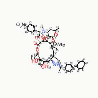 CC[C@H]1OC(=O)[C@H](C)[C@@H](OC(=O)Cc2ccc([N+](=O)[O-])cc2)[C@H](C)[C@@H](OC2OC(C)CC(N(C)C)C2O)[C@](C)(OC)C[C@@H](C)/C(=N\N=C(/C)c2ccc(-c3ccccc3)cc2)[C@H](C)[C@@H](O)[C@]1(C)O